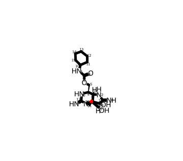 N=C1N[C@H]2[C@H](COC(=O)NC3CCCCC3)NC(=N)N3CCC(O)(O)[C@]23N1